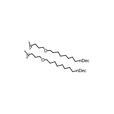 CCCCCCCCCCCCCCCCCCOCCCN(C)C.CCCCCCCCCCCCCCCCCCOCCCN(C)C